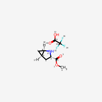 COC(=O)[C@@H]1C[C@H]2C[C@H]2N1.O=C(O)C(F)(F)F